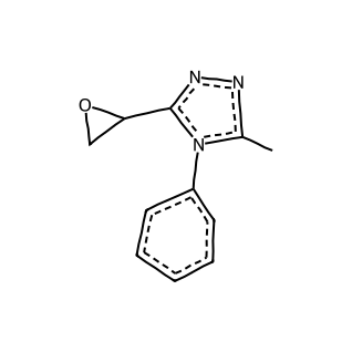 Cc1nnc(C2CO2)n1-c1ccccc1